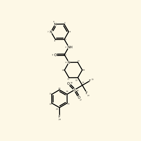 O=C(Nc1ccnnc1)N1CCC(C(F)(F)S(=O)(=O)c2cccc(F)c2)CC1